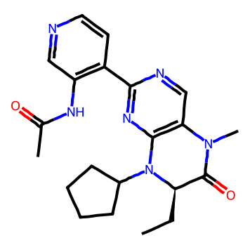 CC[C@@H]1C(=O)N(C)c2cnc(-c3ccncc3NC(C)=O)nc2N1C1CCCC1